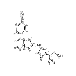 C[C@H](CO)n1cc(Nc2nc3c(-c4ccc(C#N)cc4)cccn3n2)cn1